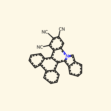 N#Cc1cc2c(c(C#N)c1C#N)c1c3ccccc3c3ccccc3c1c1c3ccccc3cn21